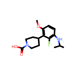 COc1ccc(NC(C)C)c(F)c1C1CCN(C(=O)O)CC1